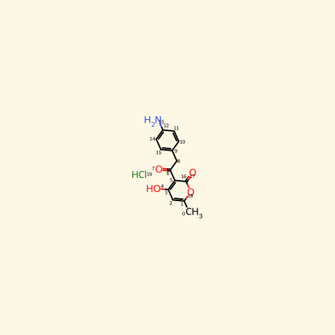 Cc1cc(O)c(C(=O)Cc2ccc(N)cc2)c(=O)o1.Cl